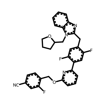 N#Cc1ccc(COc2cccc(-c3cc(F)c(Cc4nc5ccccc5n4CC4CCCO4)cc3F)n2)c(F)c1